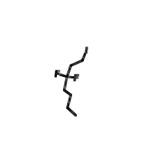 CCCCC(F)(F)CCI